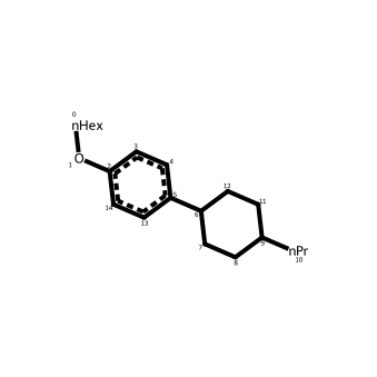 CCCCCCOc1ccc(C2CCC(CCC)CC2)cc1